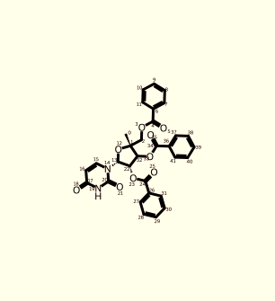 C[C@]1(COC(=O)c2ccccc2)O[C@@H](n2ccc(=O)[nH]c2=O)[C@@H](OC(=O)c2ccccc2)C1OC(=O)c1ccccc1